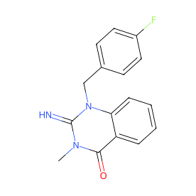 Cn1c(=O)c2ccccc2n(Cc2ccc(F)cc2)c1=N